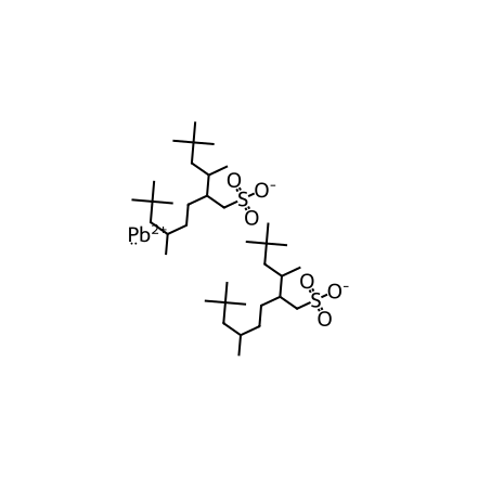 CC(CCC(CS(=O)(=O)[O-])C(C)CC(C)(C)C)CC(C)(C)C.CC(CCC(CS(=O)(=O)[O-])C(C)CC(C)(C)C)CC(C)(C)C.[Pb+2]